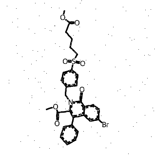 COC(=O)CCCCS(=O)(=O)c1ccc(Cn2c(C(=O)OC)c(-c3ccccc3)c3cc(Br)ccc3c2=O)cc1